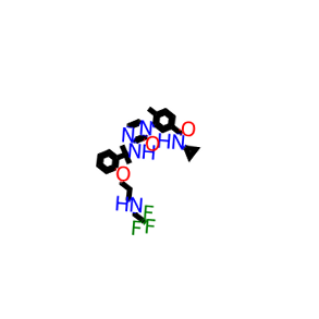 Cc1ccc(C(=O)NC2CC2)cc1-n1ccnc(NC(C)(C)c2ccccc2OCCCNCC(F)(F)F)c1=O